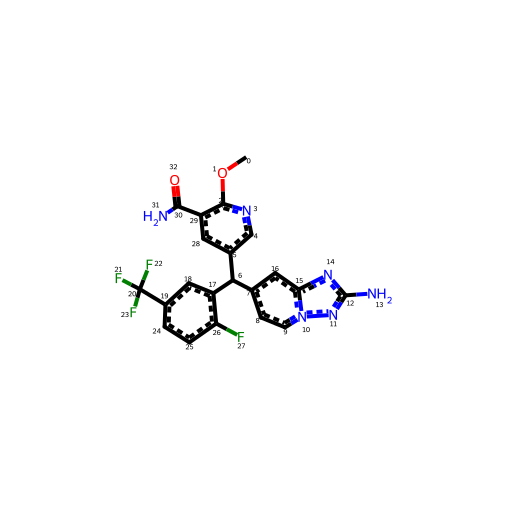 COc1ncc(C(c2ccn3nc(N)nc3c2)c2cc(C(F)(F)F)ccc2F)cc1C(N)=O